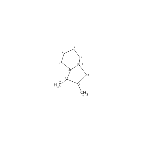 CC1CN2CCCCC2C1C